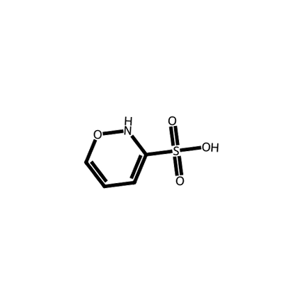 O=S(=O)(O)C1=CC=CON1